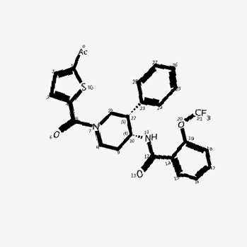 CC(=O)c1ccc(C(=O)N2CC[C@@H](NC(=O)c3ccccc3OC(F)(F)F)[C@@H](c3ccccc3)C2)s1